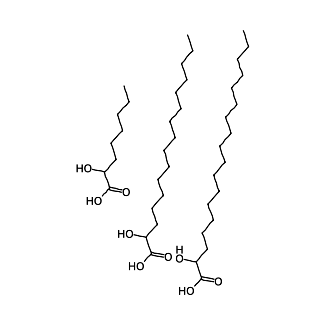 CCCCCCC(O)C(=O)O.CCCCCCCCCCCCCCC(O)C(=O)O.CCCCCCCCCCCCCCCCC(O)C(=O)O